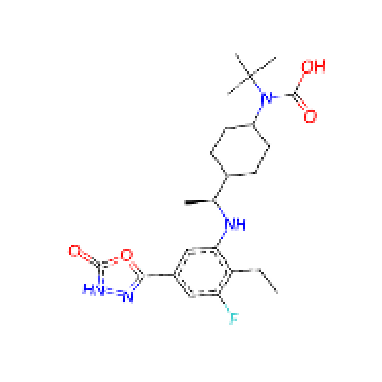 CCc1c(F)cc(-c2n[nH]c(=O)o2)cc1N[C@@H](C)C1CCC(N(C(=O)O)C(C)(C)C)CC1